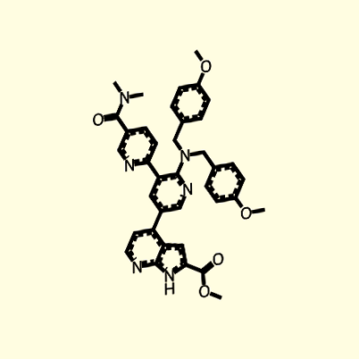 COC(=O)c1cc2c(-c3cnc(N(Cc4ccc(OC)cc4)Cc4ccc(OC)cc4)c(-c4ccc(C(=O)N(C)C)cn4)c3)ccnc2[nH]1